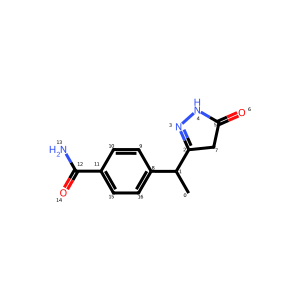 CC(C1=NNC(=O)C1)c1ccc(C(N)=O)cc1